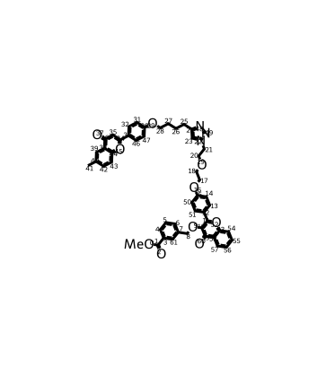 COC(=O)c1cccc(COc2c(-c3ccc(OCCOCCn4cc(CCCCOc5ccc(-c6cc(=O)c7cc(C)ccc7o6)cc5)nn4)cc3)oc3ccccc3c2=O)c1